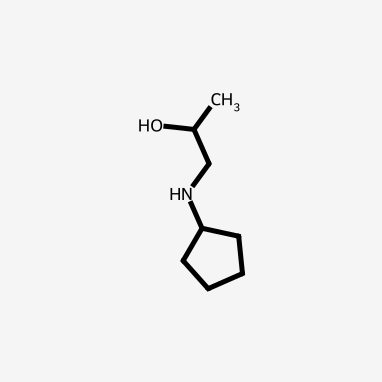 CC(O)CNC1CCCC1